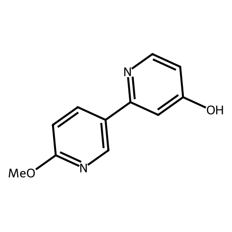 COc1ccc(-c2cc(O)ccn2)cn1